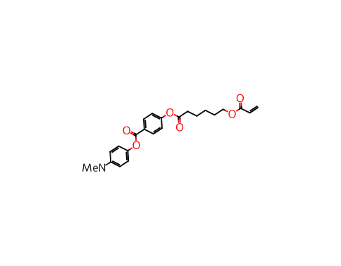 C=CC(=O)OCCCCCC(=O)Oc1ccc(C(=O)Oc2ccc(NC)cc2)cc1